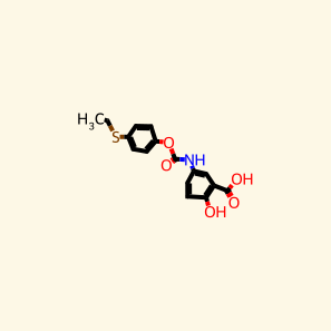 CCSc1ccc(OC(=O)Nc2ccc(O)c(C(=O)O)c2)cc1